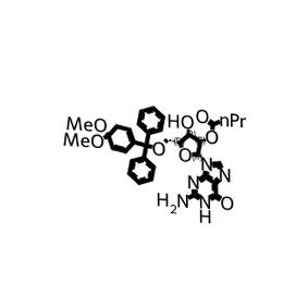 CCCC(=O)O[C@@H]1[C@H](O)[C@@H](COC(C2=CCC(OC)(OC)C=C2)(c2ccccc2)c2ccccc2)O[C@H]1n1cnc2c(=O)[nH]c(N)nc21